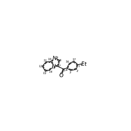 CCc1ccc(C(=O)c2cnc3ccccn23)cc1